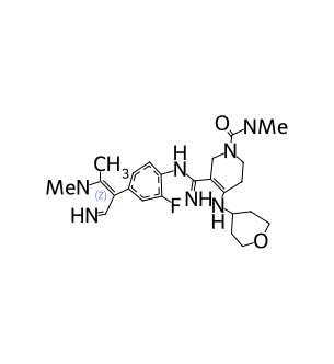 CNC(=O)N1CCC(NC2CCOCC2)=C(C(=N)Nc2ccc(/C(C=N)=C(\C)NC)cc2F)C1